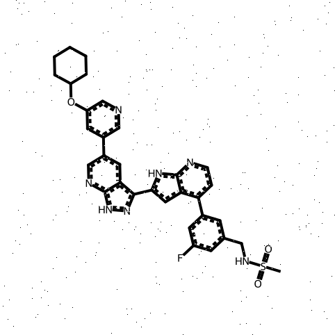 CS(=O)(=O)NCc1cc(F)cc(-c2ccnc3[nH]c(-c4n[nH]c5ncc(-c6cncc(OC7CCCCC7)c6)cc45)cc23)c1